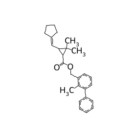 Cc1c(COC(=O)C2C(C=C3CCCC3)C2(C)C)cccc1-c1ccccc1